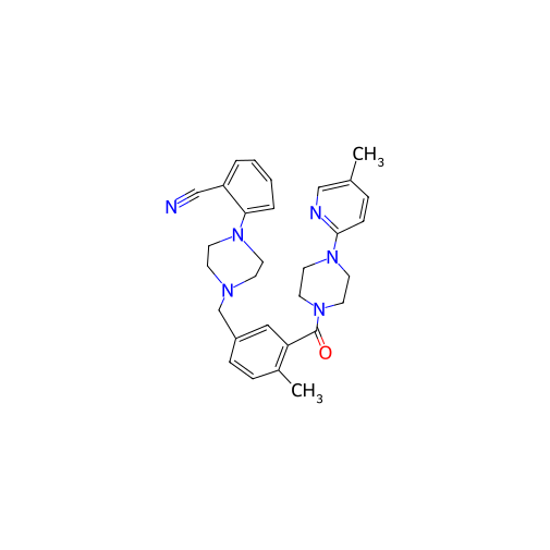 Cc1ccc(N2CCN(C(=O)c3cc(CN4CCN(c5ccccc5C#N)CC4)ccc3C)CC2)nc1